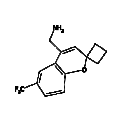 NCC1=CC2(CCC2)Oc2ccc(C(F)(F)F)cc21